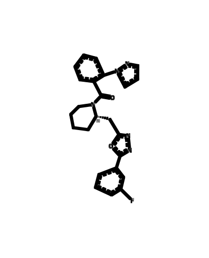 O=C(c1ccccc1-n1cccn1)N1CCCC[C@H]1Cc1nnc(-c2cccc(F)c2)o1